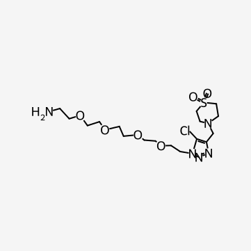 NCCOCCOCCOCCOCCn1nnc(CN2CCS(=O)(=O)CC2)c1Cl